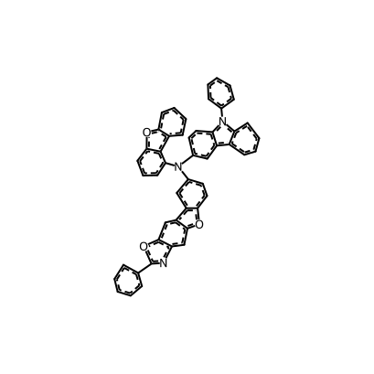 c1ccc(-c2nc3cc4oc5ccc(N(c6ccc7c(c6)c6ccccc6n7-c6ccccc6)c6cccc7oc8ccccc8c67)cc5c4cc3o2)cc1